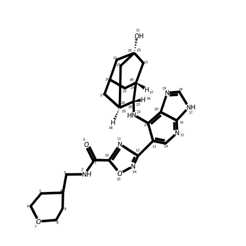 O=C(NCC1CCOCC1)c1nc(-c2cnc3[nH]cnc3c2N[C@H]2[C@@H]3CC4C[C@H]2C[C@@](O)(C4)C3)no1